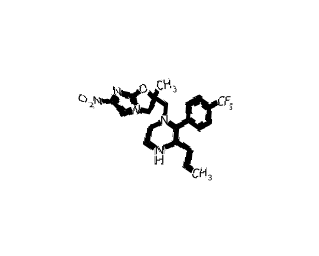 CC=CC1NCCN(CC2(C)Cn3cc([N+](=O)[O-])nc3O2)C1c1ccc(C(F)(F)F)cc1